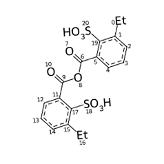 CCc1cccc(C(=O)OC(=O)c2cccc(CC)c2S(=O)(=O)O)c1S(=O)(=O)O